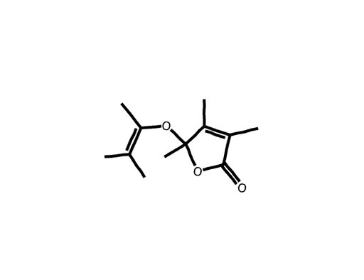 CC(C)=C(C)OC1(C)OC(=O)C(C)=C1C